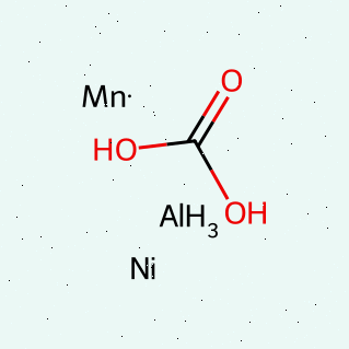 O=C(O)O.[AlH3].[Mn].[Ni]